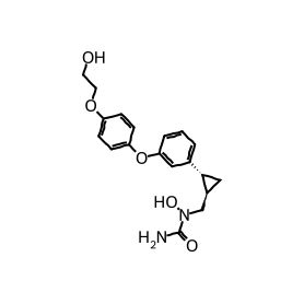 NC(=O)N(O)C[C@@H]1C[C@H]1c1cccc(Oc2ccc(OCCO)cc2)c1